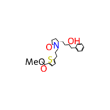 COC(=O)c1ccc(CCCN2C(=O)CC[C@@H]2CCC(O)Cc2ccccc2)s1